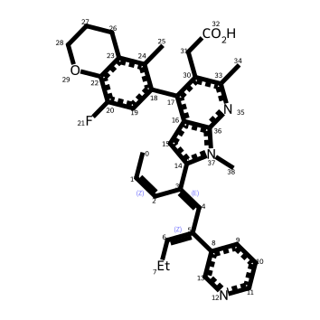 C\C=C/C(=C\C(=C\CC)c1cccnc1)c1cc2c(-c3cc(F)c4c(c3C)CCCO4)c(CC(=O)O)c(C)nc2n1C